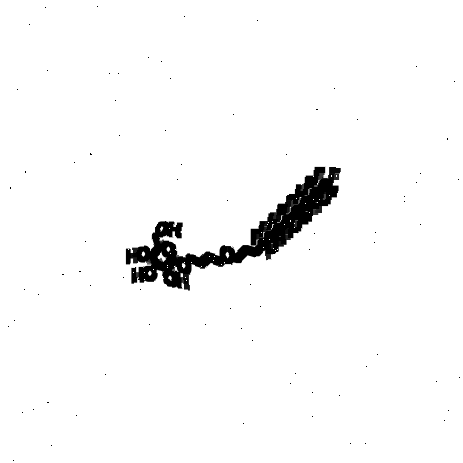 OC[C@H]1O[C@H](OCCCCOCCCC(F)(F)C(F)(F)C(F)(F)C(F)(F)C(F)(F)C(F)(F)C(F)(F)C(F)(F)F)[C@@H](O)[C@@H](O)[C@@H]1O